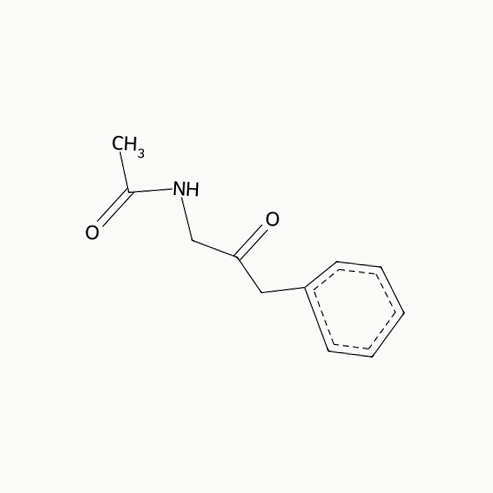 CC(=O)NCC(=O)Cc1ccccc1